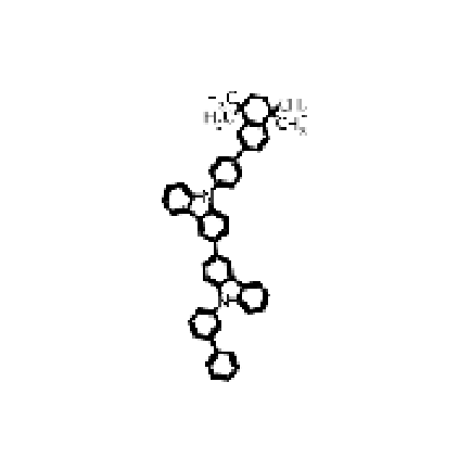 CC1(C)CCC(C)(C)c2cc(-c3ccc(-n4c5ccccc5c5cc(-c6ccc7c(c6)c6ccccc6n7-c6cccc(-c7ccccc7)c6)ccc54)cc3)ccc21